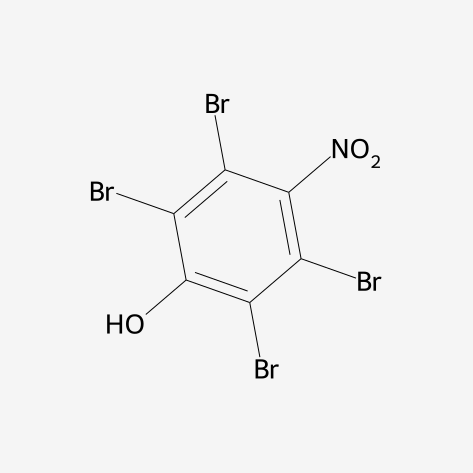 O=[N+]([O-])c1c(Br)c(Br)c(O)c(Br)c1Br